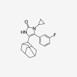 O=c1[nH]c(C2C3CC4CC(C3)CC2C4)c(-c2cccc(F)c2)n1C1CC1